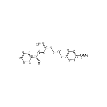 COc1ccc(COCC/C(=C/Cl)COC(=O)c2ccccc2)cc1